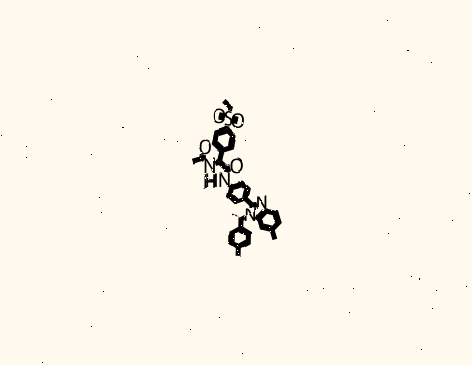 CCS(=O)(=O)c1ccc(C(NC(C)=O)C(=O)Nc2ccc(-c3nc4ccc(C)cc4n3[C@@H](C)c3ccc(C)cc3)cc2)cc1